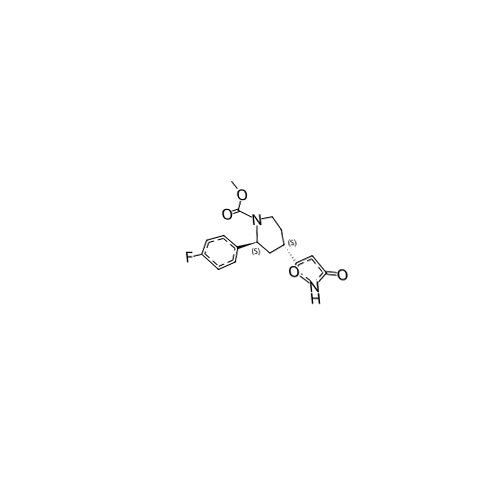 COC(=O)N1CC[C@H](c2cc(=O)[nH]o2)C[C@H]1c1ccc(F)cc1